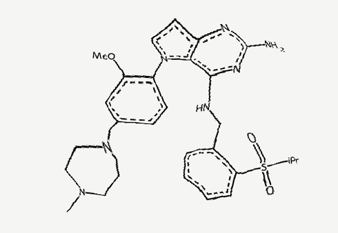 COc1cc(N2CCN(C)CC2)ccc1-n1ccc2nc(N)nc(NCc3ccccc3S(=O)(=O)C(C)C)c21